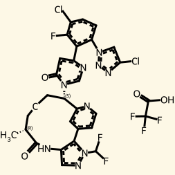 C[C@@H]1CCC[C@H](n2cnc(-c3c(-n4cc(Cl)nn4)ccc(Cl)c3F)cc2=O)c2cc(ccn2)-c2c(cnn2C(F)F)NC1=O.O=C(O)C(F)(F)F